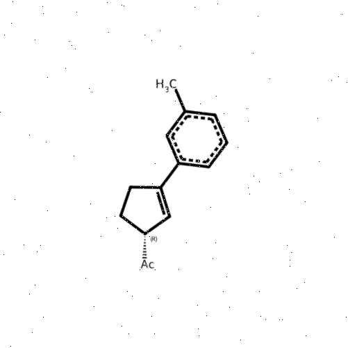 CC(=O)[C@H]1C=C(c2cccc(C)c2)CC1